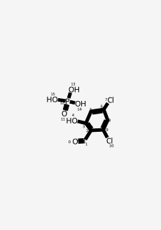 O=Ic1c(O)cc(Cl)cc1Cl.O=P(O)(O)O